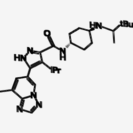 Cc1cc(-c2[nH]nc(C(=O)N[C@H]3CC[C@H](NC(C)C(C)(C)C)CC3)c2C(C)C)cn2ncnc12